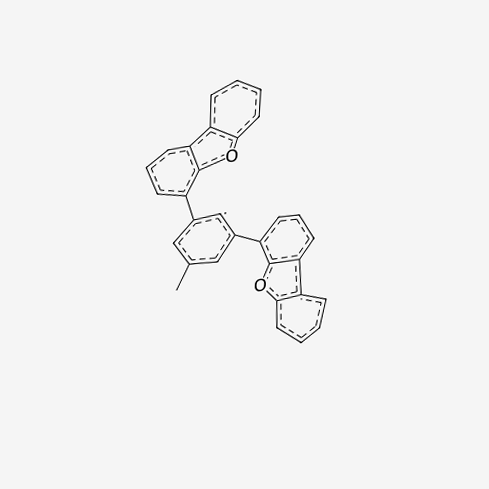 Cc1cc(-c2cccc3c2oc2ccccc23)[c]c(-c2cccc3c2oc2ccccc23)c1